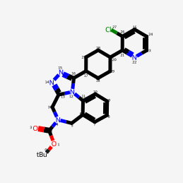 CC(C)(C)OC(=O)N1Cc2ccccc2-n2c(nnc2C2CCC(c3ncccc3Cl)CC2)C1